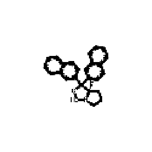 B1OC(c2ccc3ccccc3c2)(c2ccc3ccccc3c2)[C@@H]2CCCN12